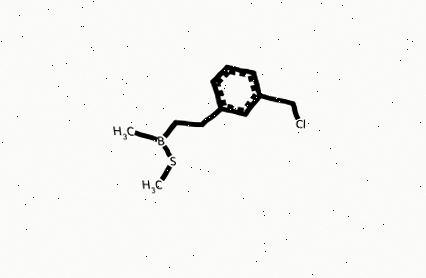 CSB(C)CCc1cccc(CCl)c1